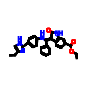 CCOC(=O)c1ccc2c(c1)NC(=O)/C2=C(\Nc1ccc(-c2nc(CC)c[nH]2)cc1)c1ccccc1